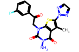 Cc1c(-n2nccn2)sc2c1c(=O)n(N)c(=O)n2CC(=O)c1cccc(F)c1